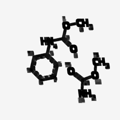 COC(=O)Nc1ccccc1.COC(N)=O